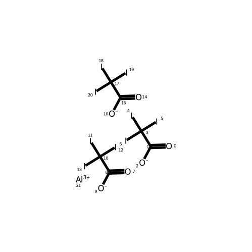 O=C([O-])C(I)(I)I.O=C([O-])C(I)(I)I.O=C([O-])C(I)(I)I.[Al+3]